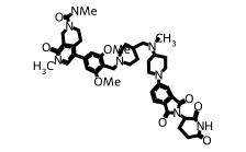 CNC(=O)N1CCc2c(-c3cc(OC)c(CN4CCC(CN(C)C5CCN(c6ccc7c(c6)C(=O)N(C6CCC(=O)NC6=O)C7=O)CC5)CC4)c(OC)c3)cn(C)c(=O)c2C1